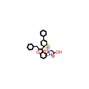 CN(CC(=O)O)S(=O)(=O)C1(c2c(Cc3ccccc3)oc3ccccc23)C=CC(c2ccccc2)=CC1F